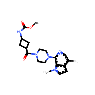 Cn1ccc2c(C(F)(F)F)cnc(N3CCN(C(=O)C4CC(NC(=O)OC(C)(C)C)C4)CC3)c21